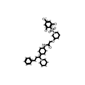 O=C(COC1CCCN(S(=O)(=O)c2c(Cl)cc(Cl)cc2Cl)C1)NC1CCC(C(CCc2ccccc2)N2CCCCC2)CC1